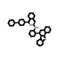 N/C(c1ccc(-c2ccccc2)cc1)=c1/cccc/c1=C/CNc1ccccc1-c1cc2ccccc2c2sc3ccccc3c12